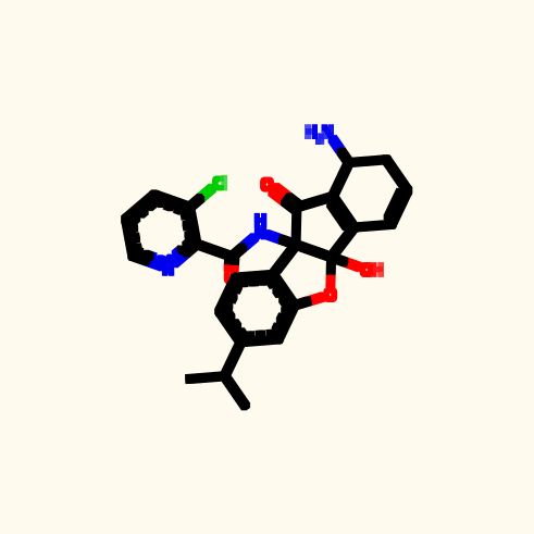 CC(C)c1ccc2c(c1)OC1(O)C3=C(C(=O)C21NC(=O)c1ncccc1Cl)C(N)CC=C3